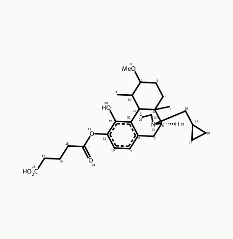 COC1CCC2(C)[C@H]3Cc4ccc(OC(=O)CCCC(=O)O)c(O)c4[C@@]2(CCN3CC2CC2)C1C